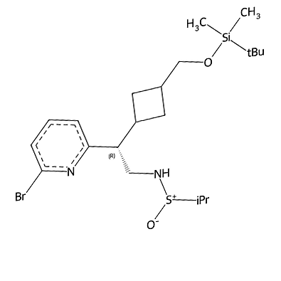 CC(C)[S+]([O-])NC[C@H](c1cccc(Br)n1)C1CC(CO[Si](C)(C)C(C)(C)C)C1